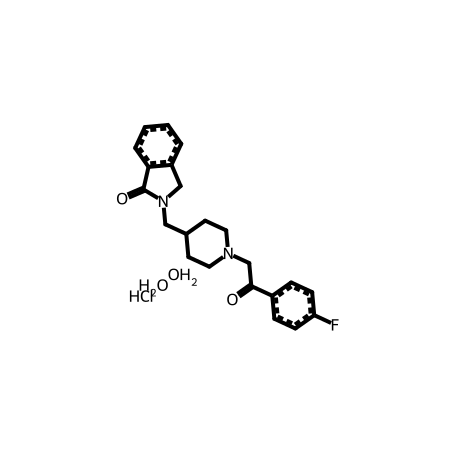 Cl.O.O.O=C(CN1CCC(CN2Cc3ccccc3C2=O)CC1)c1ccc(F)cc1